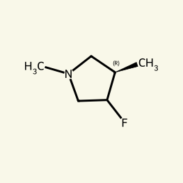 C[C@@H]1CN(C)CC1F